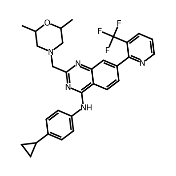 CC1CN(Cc2nc(Nc3ccc(C4CC4)cc3)c3ccc(-c4ncccc4C(F)(F)F)cc3n2)CC(C)O1